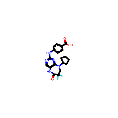 O=C(O)c1ccc(Nc2ncc3c(n2)N(C2CCCC2)CC(F)(F)C(=O)N3)cc1